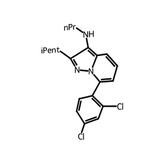 CCCNc1c(C(C)CCC)nn2c(-c3ccc(Cl)cc3Cl)cccc12